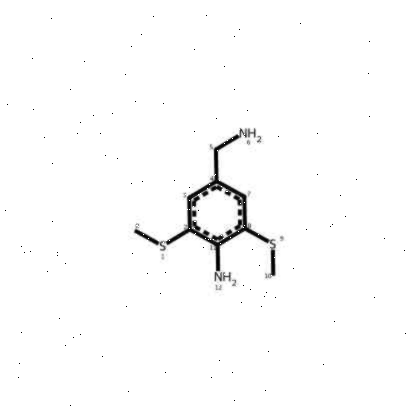 CSc1cc(CN)cc(SC)c1N